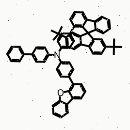 CC(C)(C)c1ccc2c(c1)C1(c3cc(C(C)(C)C)ccc3-2)c2ccccc2-c2cccc(-c3ccc(N(c4ccc(-c5ccccc5)cc4)c4ccc(-c5cccc6c5oc5ccccc56)cc4)cc3)c21